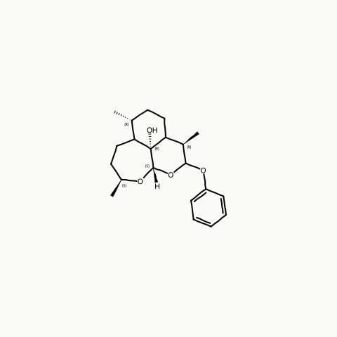 C[C@H]1C(Oc2ccccc2)O[C@@H]2O[C@@H](C)CCC3[C@H](C)CCC1[C@]32O